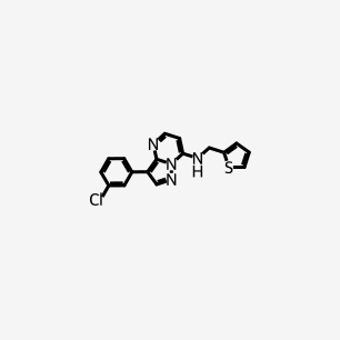 Clc1cccc(-c2cnn3c(NCc4cccs4)ccnc23)c1